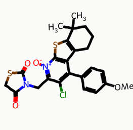 COc1ccc(-c2c(Cl)c(CN3C(=O)CSC3=O)[n+]([O-])c3sc4c(c23)CCCC4(C)C)cc1